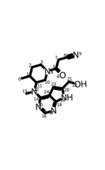 CC1CCN(C(=O)CC#N)CC1N(C)c1ncnc2[nH]c(CO)cc12